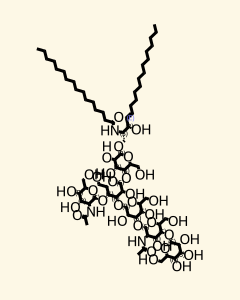 CCCCCCCCCCCCC/C=C/[C@@H](O)[C@H](CO[C@@H]1OC(CO)[C@@H](O[C@@H]2OC(CO)[C@H](O[C@@H]3OC(CO)[C@H](O)[C@H](O)C3NC(C)=O)[C@H](O[C@H]3OC(CO)[C@H](O)[C@H](O[C@@H]4OC(CO)[C@@H](O[C@@H]5OC(CO)[C@H](O)[C@H](O)C5O)[C@H](O)C4NC(C)=O)C3O)C2O)[C@H](O)C1O)NC(=O)CCCCCCCCCCCCCCC